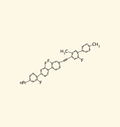 CCCc1ccc(-c2ccc(-c3ccc(C#Cc4cc(F)c(-c5ccc(C)cc5)cc4C)cc3F)c(F)c2)c(F)c1